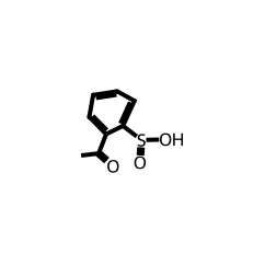 CC(=O)c1ccccc1S(=O)O